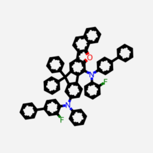 Fc1cc(-c2ccccc2)ccc1N(c1ccccc1)c1ccc2c(c1)C(c1ccccc1)(c1ccccc1)c1cc3c(oc4c5ccccc5ccc34)c(N(c3ccc(-c4ccccc4)cc3)c3ccccc3F)c1-2